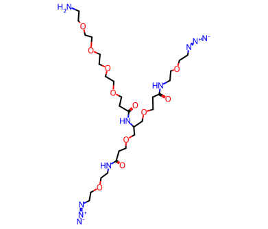 [N-]=[N+]=NCCOCCNC(=O)CCOCC(COCCC(=O)NCCOCCN=[N+]=[N-])NC(=O)CCOCCOCCOCCOCCN